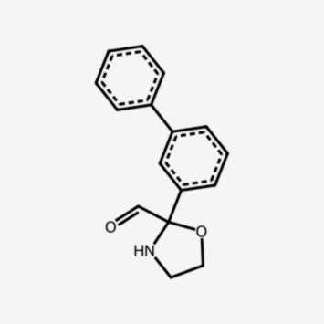 O=CC1(c2cccc(-c3ccccc3)c2)NCCO1